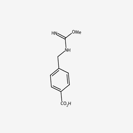 COC(=N)NCc1ccc(C(=O)O)cc1